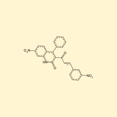 O=C(/C=C/c1cccc([N+](=O)[O-])c1)c1c(-c2ccccc2)c2ccc([N+](=O)[O-])cc2[nH]c1=O